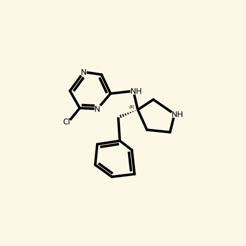 Clc1cncc(N[C@]2(Cc3ccccc3)CCNC2)n1